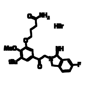 Br.COc1c(OCCCC(N)=O)cc(C(=O)CN2Cc3ccc(F)cc3C2=N)cc1C(C)(C)C